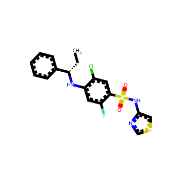 CC[C@H](Nc1cc(F)c(S(=O)(=O)Nc2cscn2)cc1Cl)c1ccccc1